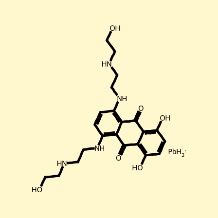 O=C1c2c(O)ccc(O)c2C(=O)c2c(NCCNCCO)ccc(NCCNCCO)c21.[PbH2]